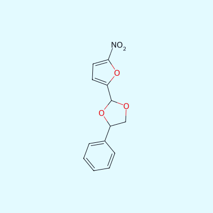 O=[N+]([O-])c1ccc(C2OCC(c3ccccc3)O2)o1